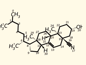 CC(C)CCC[C@@H](C)[C@H]1CC[C@H]2C3=CC[C@@]4(C#N)C[C@@H](O)CC[C@]4(C)[C@H]3CC[C@]12C